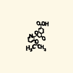 CC(C)Oc1cccnc1-c1cc(=O)c2ccc(C(=O)O)cc2o1